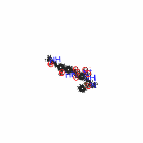 COc1cc(CCC(=O)NC(C)C)ccc1-c1ccc(C(=O)NS(=O)(=O)c2ccc(N[C@@H](CSc3ccccc3)CC(=O)N(C)C)c([N+](=O)[O-])c2)cc1